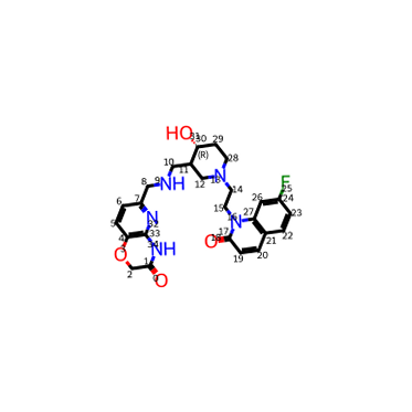 O=C1COc2ccc(CNCC3CN(CCn4c(=O)ccc5ccc(F)cc54)CC[C@H]3O)nc2N1